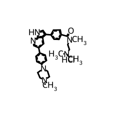 CN(C)CCN(C)C(=O)c1ccc(-c2c[nH]c3ncc(-c4ccc(N5CCN(C)CC5)cc4)cc23)cc1.Cl